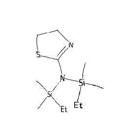 CC[Si](C)(C)N(C1=NCCS1)[Si](C)(C)CC